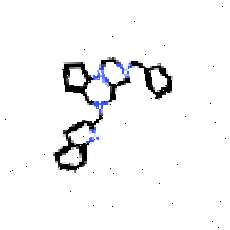 c1ccc(CN2CCN3c4ccccc4CN(Cc4ccc5ccccc5n4)CC3C2)cc1